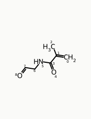 C=C(C)C(=O)NCC=O